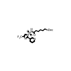 CCCCCCCCCCCCCCCC(=O)NS(=O)(=O)n1cc(C(F)(F)F)nc1-c1cccnc1